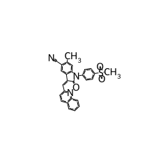 Cc1cc2c(cc1C#N)C(=Cc1ccc3ccccc3n1)C(=O)N2c1ccc(S(C)(=O)=O)cc1